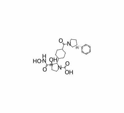 O=C(C1CCC(C2N(C(=O)O)CC[C@]2(O)C(=O)NO)CC1)N1CC[C@H](c2ccccc2)C1